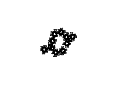 C[Si]1(c2ccccc2)c2ccccc2-c2cc(-c3cccc(-c4cccc(-c5ccc(-c6nc(-c7ccccc7)cc(-c7cccc(-c8ccccc8)c7)n6)cc5)c4)c3)ccc21